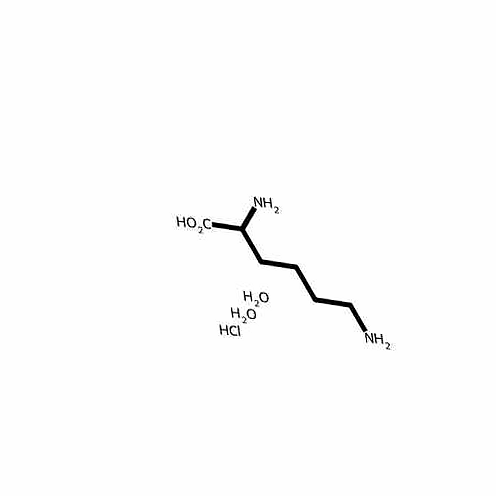 Cl.NCCCCC(N)C(=O)O.O.O